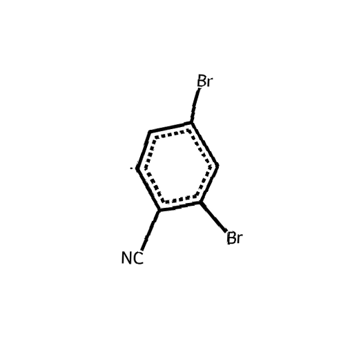 N#Cc1[c]cc(Br)cc1Br